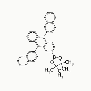 CC1(C)OB(c2ccc3c(-c4ccc5ccccc5c4)c4ccccc4c(-c4ccc5ccccc5c4)c3c2)OC1(C)C